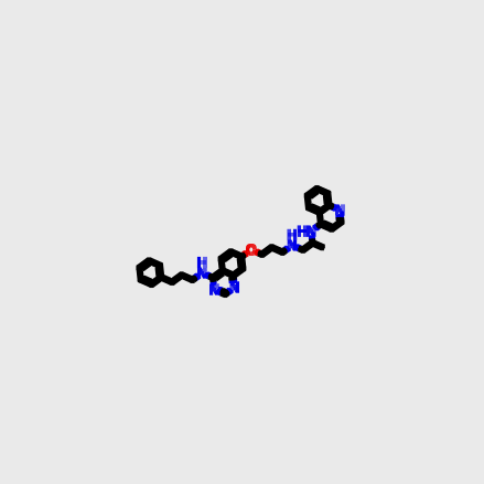 CC(CNCCCOc1ccc2c(NCCCc3ccccc3)ncnc2c1)Nc1ccnc2ccccc12